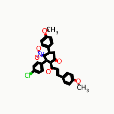 COc1ccc(C=CC(=O)C2C(=O)CC(c3ccc(OC)cc3)C([N+](=O)[O-])C2c2ccc(Cl)cc2)cc1